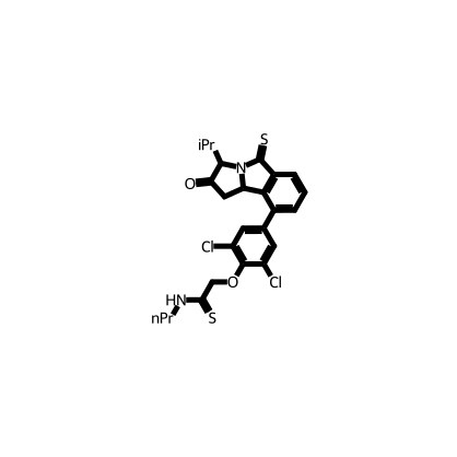 CCCNC(=S)COc1c(Cl)cc(-c2cccc3c2C2CC(=O)C(C(C)C)N2C3=S)cc1Cl